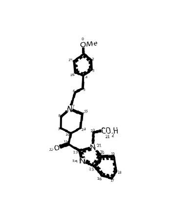 COc1ccc(CCN2CCC(C(=O)c3nc4ccccc4n3CC(=O)O)CC2)cc1